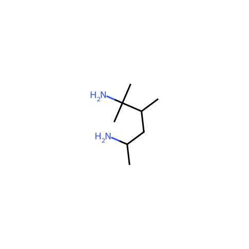 CC(N)CC(C)C(C)(C)N